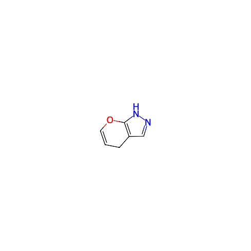 C1=COc2[nH]ncc2C1